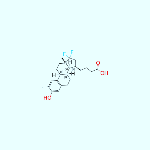 Cc1cc2c(cc1O)CC[C@H]1[C@@H]3[C@H](CCCC(=O)O)CC(F)(F)[C@@]3(C)CC[C@H]21